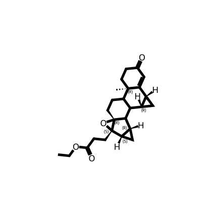 CCOC(=O)CC[C@@]12O[C@@]13CCC1C(C3[C@@H]3C[C@@H]32)[C@H]2C[C@H]2C2=CC(=O)CC[C@@]21C